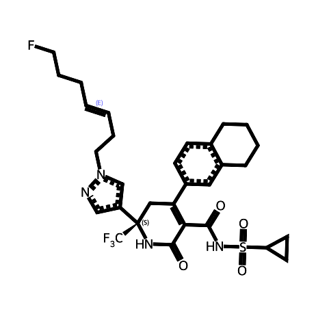 O=C1N[C@@](c2cnn(CC/C=C/CCCF)c2)(C(F)(F)F)CC(c2ccc3c(c2)CCCC3)=C1C(=O)NS(=O)(=O)C1CC1